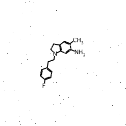 Cc1cc2c(cc1N)N(CCc1ccc(F)cc1)CC2